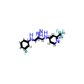 N=N/C(=C\Nc1cccc(F)c1)CNc1ccnc(C(F)(F)F)c1